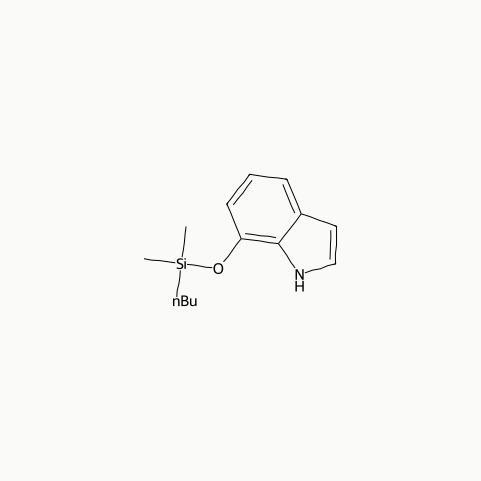 CCCC[Si](C)(C)Oc1cccc2cc[nH]c12